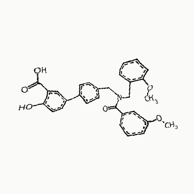 COc1cccc(C(=O)N(Cc2ccc(-c3ccc(O)c(C(=O)O)c3)cc2)Cc2ccccc2OC)c1